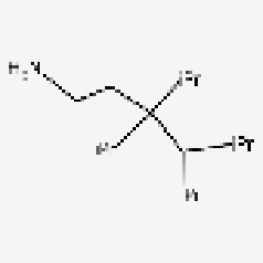 CC(C)[C](C(C)C)C(CCN)(C(C)C)C(C)C